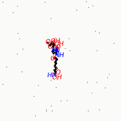 O=C(CCCCCCC(=O)Nc1ccn([C@@H]2O[C@H](CO)[C@@H](O)[C@@H]2O)c(=O)n1)NO